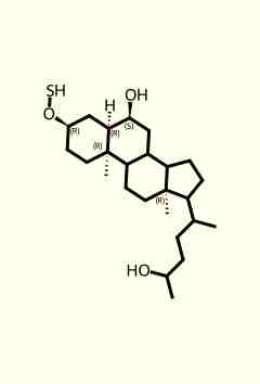 CC(O)CCC(C)C1CCC2C3C[C@H](O)[C@@H]4C[C@H](OS)CC[C@]4(C)C3CC[C@]12C